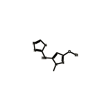 CCOc1cc(NC2=NN=C[N]2)n(C)n1